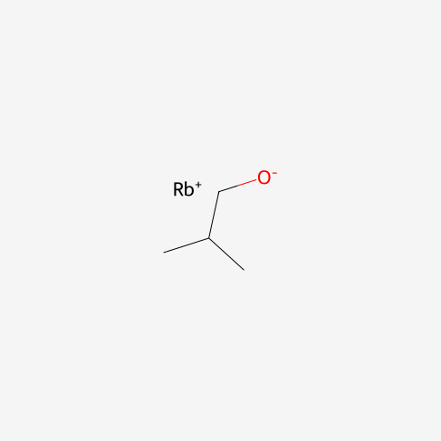 CC(C)C[O-].[Rb+]